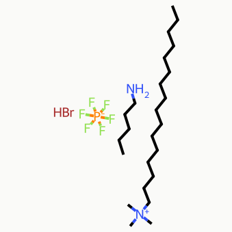 Br.CCCCCCCCCCCCCCCC[N+](C)(C)C.CCCCCN.F[P-](F)(F)(F)(F)F